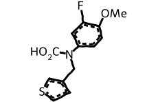 COc1ccc(N(Cc2ccsc2)C(=O)O)cc1F